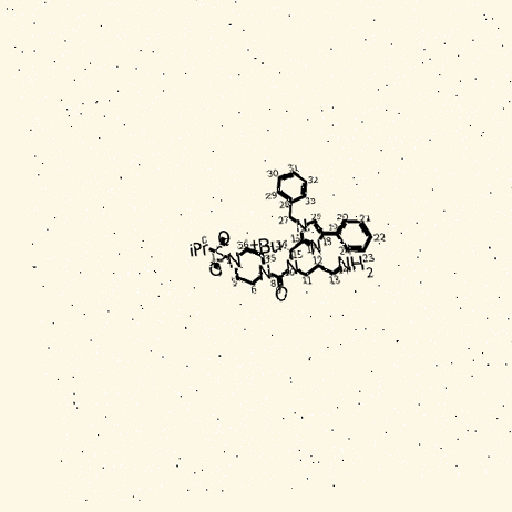 CC(C)S(=O)(=O)N1CCN(C(=O)N(CCCN)[C@@H](c2nc(-c3ccccc3)cn2Cc2ccccc2)C(C)(C)C)CC1